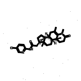 CC1=C2N(C)C(=O)CC[C@]2(C)[C@H]2CC[C@]3(C)[C@@H](CC(=O)Nc4ccc(Cl)cn4)CC[C@H]3[C@@H]2C1